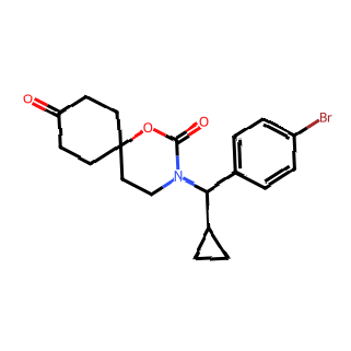 O=C1CCC2(CC1)CCN(C(c1ccc(Br)cc1)C1CC1)C(=O)O2